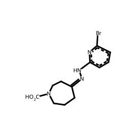 O=C(O)N1CCC/C(=N/Nc2cccc(Br)n2)CC1